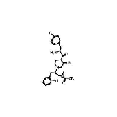 CCCC1CN(C(Cc2ccccc2Cl)CN(C)C(=O)C(F)(F)F)CCN1C(=O)C(N)Cc1ccc(F)cc1